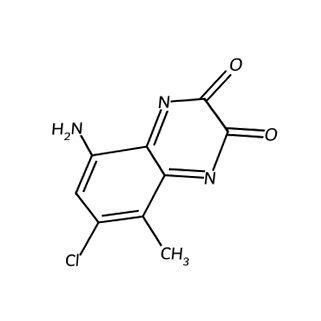 Cc1c(Cl)cc(N)c2c1=NC(=O)C(=O)N=2